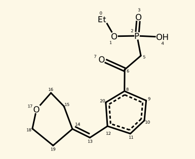 CCOP(=O)(O)CC(=O)c1cccc(C=C2CCOCC2)c1